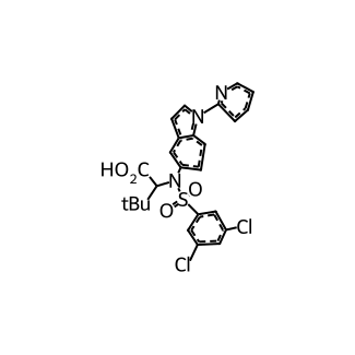 CC(C)(C)C(C(=O)O)N(c1ccc2c(ccn2-c2ccccn2)c1)S(=O)(=O)c1cc(Cl)cc(Cl)c1